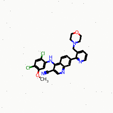 COc1cc(Nc2c(C#N)cnc3cc(-c4ncccc4CN4CCOCC4)ccc23)c(Cl)cc1Cl